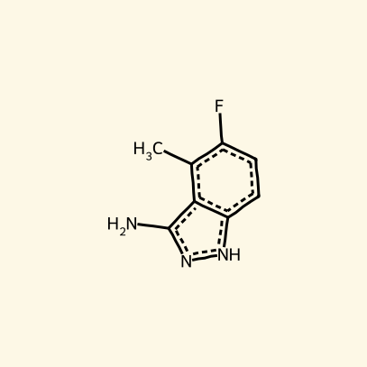 Cc1c(F)ccc2[nH]nc(N)c12